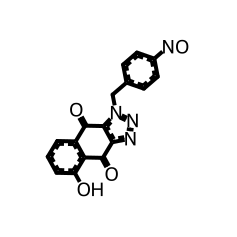 O=Nc1ccc(Cn2nnc3c2C(=O)c2cccc(O)c2C3=O)cc1